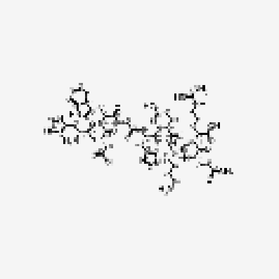 N=C(N)NCCC[C@H](NC(=O)[C@H](CCC(N)=O)NC(=O)[C@H](CCCCN)NC(=O)[C@H](CCC(=O)O)NC(=O)[C@H](Cc1c[nH]cn1)NC(=O)CNC(=O)[C@H](Cc1c[nH]c2ccccc12)NC(=O)[C@H](CC(=O)O)NC(=O)[C@@H](N)Cc1c[nH]cn1)C(=O)O